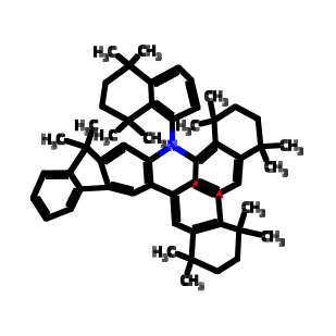 CC1(C)CCC(C)(C)c2cc(-c3cc4c(cc3N(c3cccc5c3C(C)(C)CCC5(C)C)c3cccc5c3C(C)(C)CCC5(C)C)C(C)(C)c3ccccc3-4)ccc21